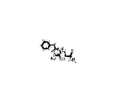 NC(=O)CC[C@H](NC(=O)Cc1ccccc1)C(=O)O.[Na]